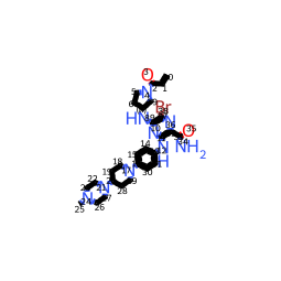 C=CC(=O)N1CC[C@@H](Nc2nc(Nc3ccc(N4CCC(N5CCN(C)CC5)CC4)cc3)c(C(N)=O)nc2Br)C1